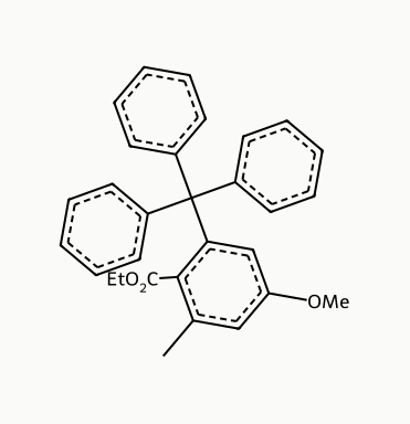 CCOC(=O)c1c(C)cc(OC)cc1C(c1ccccc1)(c1ccccc1)c1ccccc1